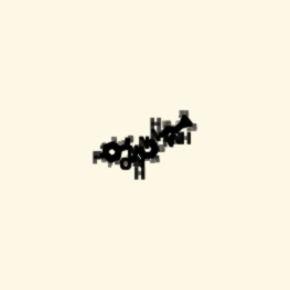 CC(c1ccc(F)cc1)n1c(=O)[nH]c2ccc(Nc3cc(C4CC4)[nH]n3)nc21